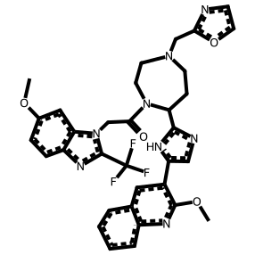 COc1ccc2nc(C(F)(F)F)n(CC(=O)N3CCN(Cc4ncco4)CCC3c3ncc(-c4cc5ccccc5nc4OC)[nH]3)c2c1